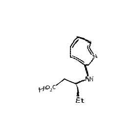 CC[C@@H](CC(=O)O)Nc1ccccn1